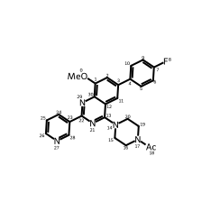 COc1cc(-c2ccc(F)cc2)cc2c(N3CCN(C(C)=O)CC3)nc(-c3cccnc3)nc12